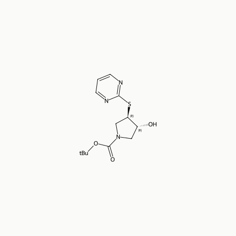 CC(C)(C)OC(=O)N1C[C@@H](O)[C@H](Sc2ncccn2)C1